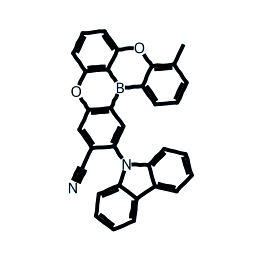 Cc1cccc2c1Oc1cccc3c1B2c1cc(-n2c4ccccc4c4ccccc42)c(C#N)cc1O3